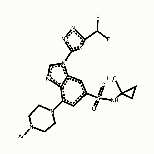 CC(=O)N1CCN(c2cc(S(=O)(=O)NC3(C)CC3)cc3c2ncn3-c2nnc(C(F)F)s2)CC1